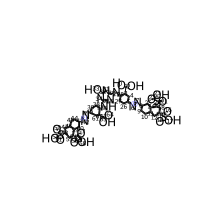 O=C(O)c1cc(/N=N/c2ccc3cc(S(=O)(=O)O)cc(S(=O)(=O)O)c3c2)ccc1Nc1nc(O)nc(Nc2ccc(/N=N/c3ccc4cc(S(=O)(=O)O)cc(S(=O)(=O)O)c4c3)cc2C(=O)O)n1